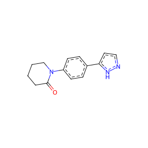 O=C1CCCCN1c1ccc(-c2ccn[nH]2)cc1